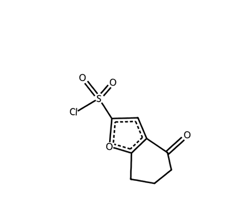 O=C1CCCc2oc(S(=O)(=O)Cl)cc21